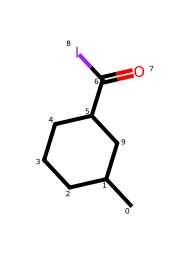 CC1CCCC(C(=O)I)C1